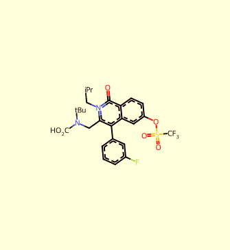 CC(C)Cn1c(CN(C(=O)O)C(C)(C)C)c(-c2cccc(F)c2)c2cc(OS(=O)(=O)C(F)(F)F)ccc2c1=O